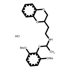 COc1cccc(OC)c1OC(C)NCCC1COc2ccccc2O1.Cl